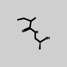 CCC(C)C(=O)NC[C@H](C)O